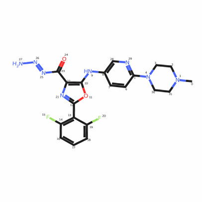 CN1CCN(c2ccc(Nc3oc(-c4c(F)cccc4F)nc3C(=O)N=NN)cn2)CC1